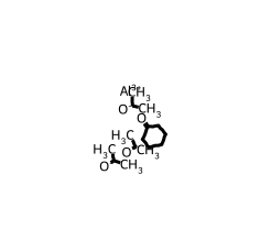 CC(C)[O-].CC(C)[O-].CC(C)[O-].O=C1CCCCC1.[Al+3]